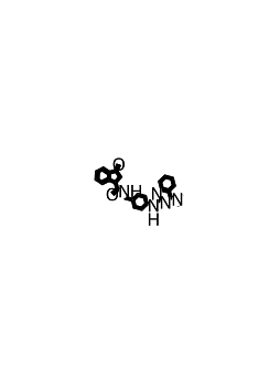 CN(C)c1nc(NC2CCC(CNC(=O)C3CC(=O)c4ccccc43)CC2)nc2c1CCCC2